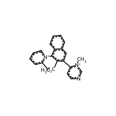 Cc1c(-c2ccnc[n+]2C)cc2ccccc2c1-[n+]1ccccc1C